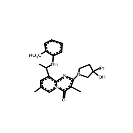 Cc1cc(C(C)Nc2ccccc2C(=O)O)c2nc(N3CCC(O)(C(C)C)C3)c(C)c(=O)n2c1